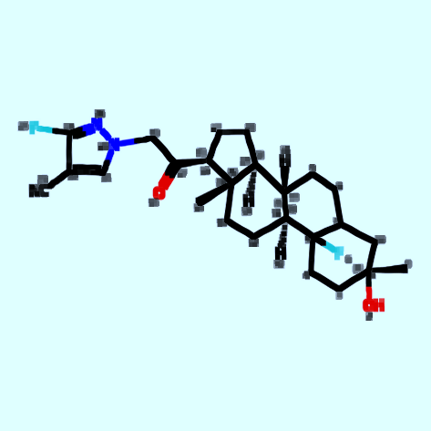 C[C@@]1(O)CCC2(F)C(CC[C@@H]3[C@@H]2CC[C@]2(C)[C@@H](C(=O)Cn4cc(C#N)c(F)n4)CC[C@@H]32)C1